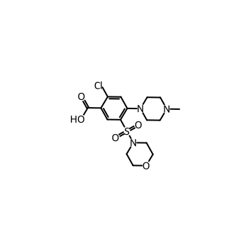 CN1CCN(c2cc(Cl)c(C(=O)O)cc2S(=O)(=O)N2CCOCC2)CC1